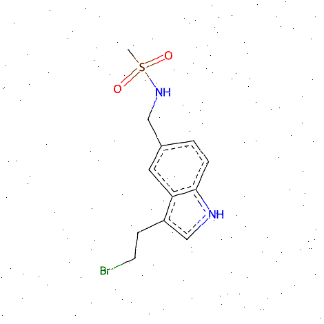 CS(=O)(=O)NCc1ccc2[nH]cc(CCBr)c2c1